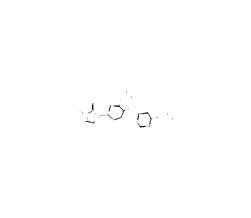 Cn1ccn(-c2ccc(Oc3cccc(C#N)c3)c(C#N)c2)c1=O